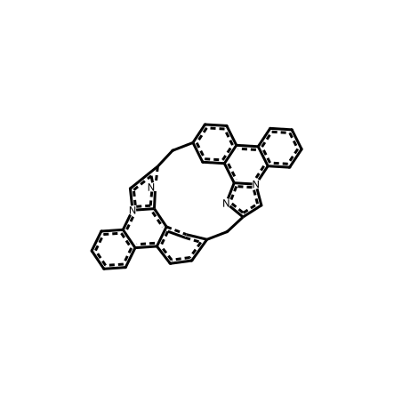 c1ccc2c(c1)c1ccc3cc1c1nc(cn21)Cc1ccc2c4ccccc4n4cc(nc4c2c1)C3